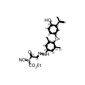 C=C(C)c1cc(Oc2c(C)cc(NN=CC(=O)N(C#N)C(=O)OCC)cc2C)ccc1O